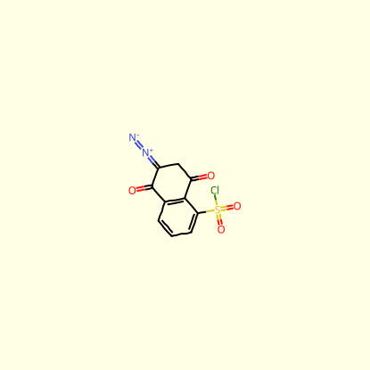 [N-]=[N+]=C1CC(=O)c2c(cccc2S(=O)(=O)Cl)C1=O